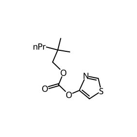 CCCC(C)(C)COC(=O)Oc1cscn1